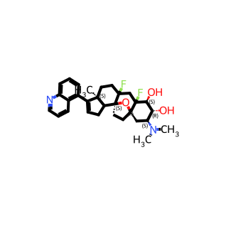 CN(C)[C@H]1C[C@@]23CC[C@]4(O2)C2CC=C(c5cccc6ncccc56)[C@@]2(C)CCC4(F)CC3(F)[C@@H](O)[C@@H]1O